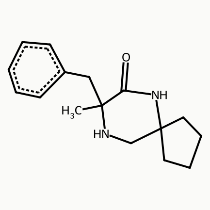 CC1(Cc2ccccc2)NCC2(CCCC2)NC1=O